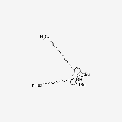 C=CC/C=C/C/C=C/CCCCCCCc1ccc(C(C)(C)C)c(O)c1Cc1c(CCCCCCC/C=C/CCCCCC)ccc(C(C)(C)C)c1O